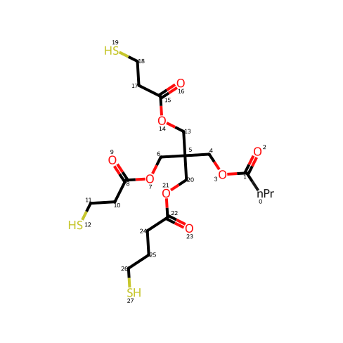 CCCC(=O)OCC(COC(=O)CCS)(COC(=O)CCS)COC(=O)CCCS